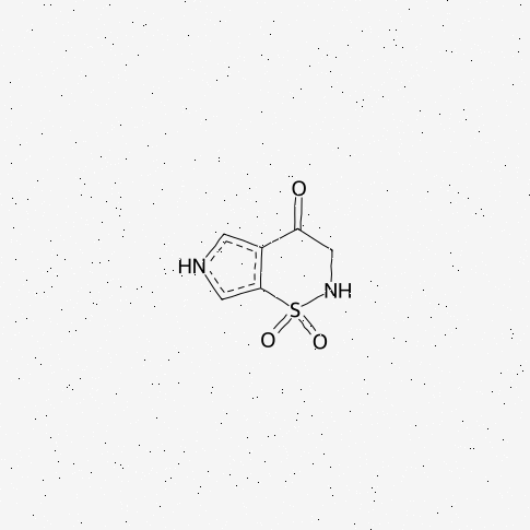 O=C1CNS(=O)(=O)c2c[nH]cc21